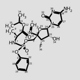 C=N[C@]1(COP(=O)(N[C@@H](C)C(=O)OC(C)C)Oc2ccccc2)O[C@@H](n2ccc(N)nc2=O)[C@H](O)[C@@H]1F